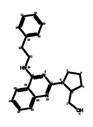 OCC1CCCN1c1nc(NCCc2ccccc2)c2ccccc2n1